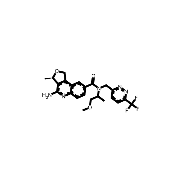 COCC(C)N(Cc1ccc(C(F)(F)F)nn1)C(=O)c1ccc2nc(N)c3c(c2c1)CO[C@@H]3C